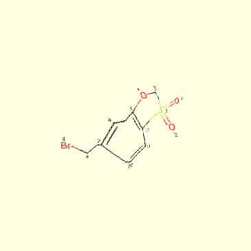 O=S1(=O)COc2cc(CBr)ccc21